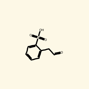 O=[C]Cc1ccccc1S(=O)(=O)O